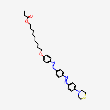 CCC(=O)OCCCCCCCCCOc1ccc(N=Nc2ccc(N=Nc3ccc(N4CCSCC4)cc3)cc2)cc1